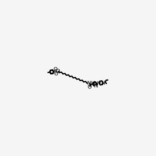 CCC(C)N1CCN(c2ccc(C(=O)NCCCCCCCCCCCCCCCCCOS(=O)(=O)c3ccc(C)cc3)cn2)CC1